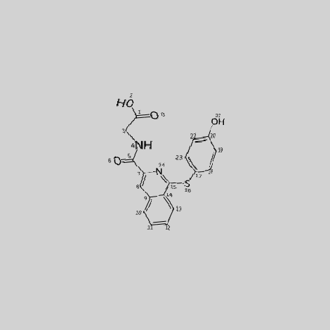 O=C(O)CNC(=O)c1cc2ccccc2c(Sc2ccc(O)cc2)n1